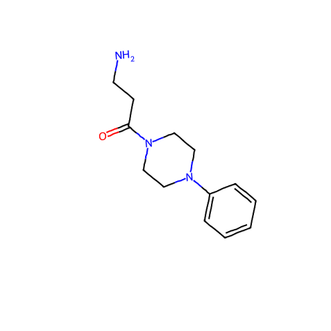 NCCC(=O)N1CCN(c2ccccc2)CC1